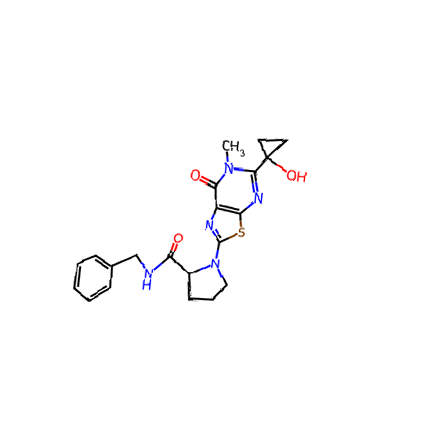 Cn1c(C2(O)CC2)nc2sc(N3CCCC3C(=O)NCc3ccccc3)nc2c1=O